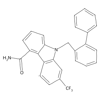 NC(=O)c1cccc2c1c1[c]cc(C(F)(F)F)cc1n2Cc1ccccc1-c1ccccc1